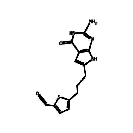 Nc1nc2[nH]c(CCCc3ccc(C=O)s3)cc2c(=O)[nH]1